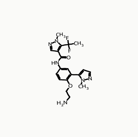 Cn1nccc1-c1cc(NC(=O)c2cnn(C)c2C(C)(F)F)ccc1OCCN